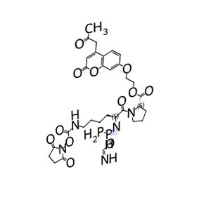 CC(=O)Cc1cc(=O)oc2cc(OCCOC(=O)[C@@H]3CCCN3C(=O)[C@H](CCCCNC(=O)ON3C(=O)CCC3=O)/N=[PH](\P)OC=N)ccc12